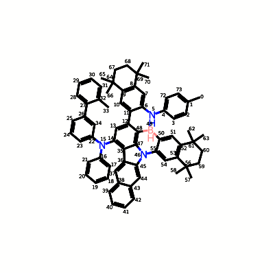 Cc1ccc(Nc2cc3c(cc2-c2cc(N(c4ccccc4)c4cccc(-c5ccccc5C)c4)c4c5cc6ccccc6cc5n5c4c2Bc2cc4c(cc2-5)C(C)(C)CCC4(C)C)C(C)(C)CCC3(C)C)cc1